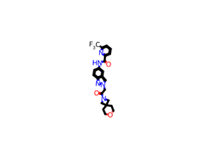 O=C(Nc1ccc2nn(CC(=O)N3CC4(CCOCC4)C3)cc2c1)c1cccc(C(F)(F)F)n1